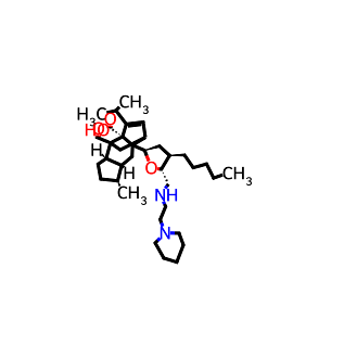 CCCCC[C@@H]1C[C@H](C23C[C@@H]4[C@H](C)CC[C@H]4C4(C=O)CC2C=C(C(C)C)[C@]43C(=O)O)O[C@H]1CNCCN1CCCCC1